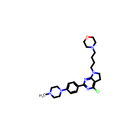 CN1CCN(c2ccc(-c3nc(Cl)c4c(n3)N(CCCCN3CCOCC3)CC4)cc2)CC1